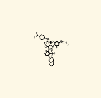 COc1cc(F)c([C@@H]2CN(c3nccc(N4CCN5CCCC5C4)c3C(F)(F)F)C(=O)C2NC(=O)N[C@H]2CC[C@H](C(F)F)CC2)c(F)c1